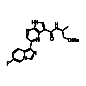 COCC(C)NC(=O)c1c[nH]c2ncc(-c3ncn4cc(F)ccc34)nc12